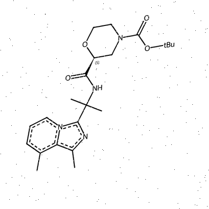 Cc1cccn2c(C(C)(C)NC(=O)[C@@H]3CN(C(=O)OC(C)(C)C)CCO3)nc(C)c12